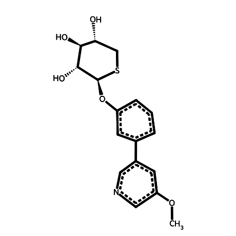 COc1cncc(-c2cccc(O[C@@H]3SC[C@@H](O)[C@H](O)[C@H]3O)c2)c1